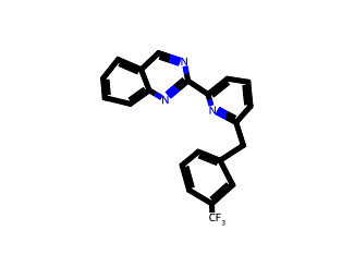 FC(F)(F)c1cccc(Cc2cccc(-c3ncc4ccccc4n3)n2)c1